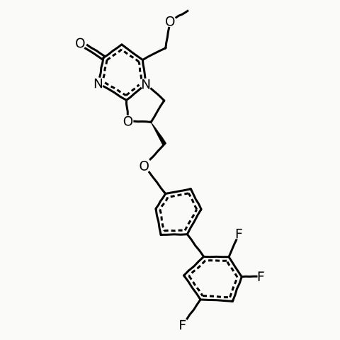 COCc1cc(=O)nc2n1C[C@@H](COc1ccc(-c3cc(F)cc(F)c3F)cc1)O2